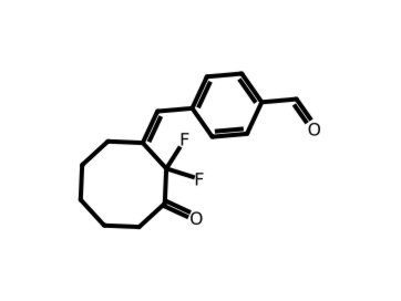 O=Cc1ccc(C=C2CCCCCC(=O)C2(F)F)cc1